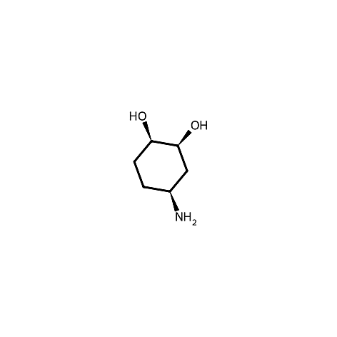 N[C@H]1CC[C@@H](O)[C@@H](O)C1